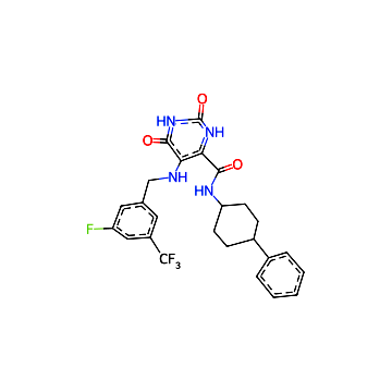 O=C(NC1CCC(c2ccccc2)CC1)c1[nH]c(=O)[nH]c(=O)c1NCc1cc(F)cc(C(F)(F)F)c1